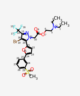 CCN(CC)CCOC(=O)Cn1nc(C(F)(F)F)c(Br)c1-c1ccc(-c2cccc(S(C)(=O)=O)c2)o1